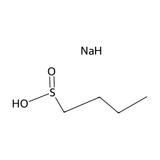 CCCCS(=O)O.[NaH]